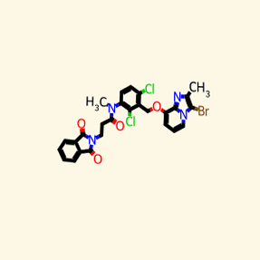 Cc1nc2c(OCc3c(Cl)ccc(N(C)C(=O)CCN4C(=O)c5ccccc5C4=O)c3Cl)cccn2c1Br